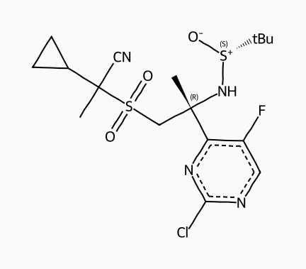 CC(C)(C)[S@@+]([O-])N[C@@](C)(CS(=O)(=O)C(C)(C#N)C1CC1)c1nc(Cl)ncc1F